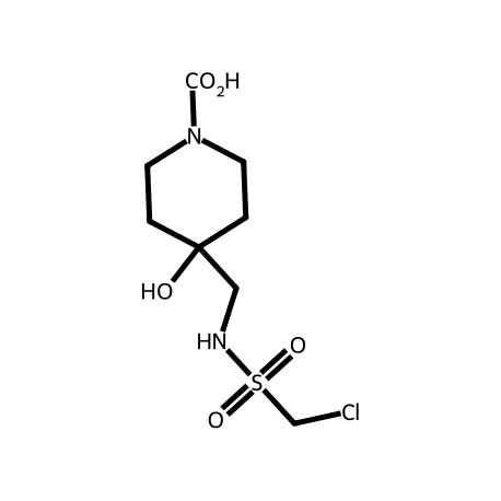 O=C(O)N1CCC(O)(CNS(=O)(=O)CCl)CC1